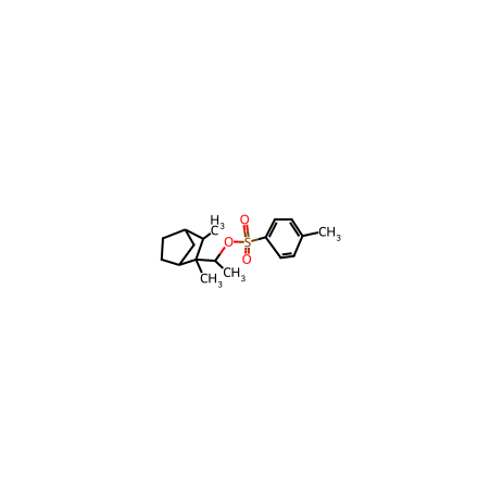 Cc1ccc(S(=O)(=O)OC(C)C2(C)C3CCC(C3)C2C)cc1